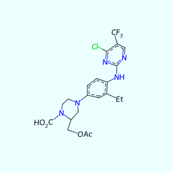 CCc1cc(N2CCN(C(=O)O)C(COC(C)=O)C2)ccc1Nc1ncc(C(F)(F)F)c(Cl)n1